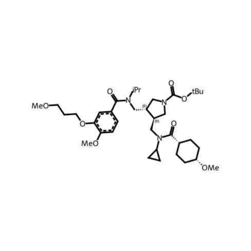 COCCCOc1cc(C(=O)N(C[C@@H]2CN(C(=O)OC(C)(C)C)C[C@H]2CN(C(=O)[C@H]2CC[C@@H](OC)CC2)C2CC2)C(C)C)ccc1OC